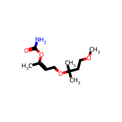 COCCC(C)(C)OC/C=C(/C)OC(N)=O